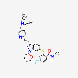 CCN(CC)Cc1ccc(/C=C/c2nn(C3CCCCO3)c3cc(Sc4cc(F)ccc4C(=O)NC4CC4)ccc23)nc1